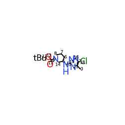 Cc1nc(N[C@H]2CCCN(C(=O)OC(C)(C)C)C2)nnc1Cl